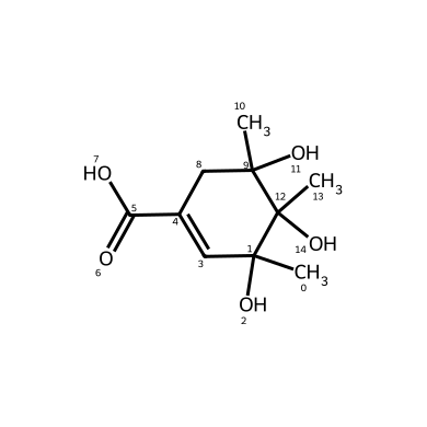 CC1(O)C=C(C(=O)O)CC(C)(O)C1(C)O